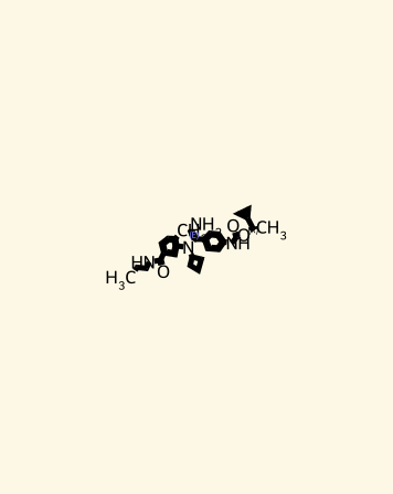 CCCNC(=O)c1ccc(C)c(N(/C(=C/N)c2ccc(NC(=O)O[C@H](C)C3CC3)cc2)C2CCC2)c1